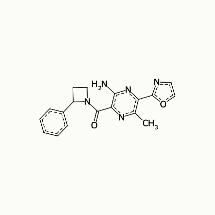 Cc1nc(C(=O)N2CCC2c2ccccc2)c(N)nc1-c1ncco1